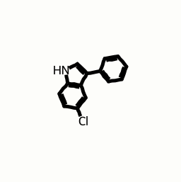 Clc1ccc2[nH]cc(-c3ccccc3)c2c1